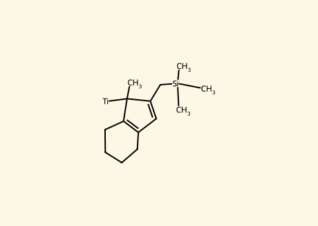 C[C]1([Ti])C(C[Si](C)(C)C)=CC2=C1CCCC2